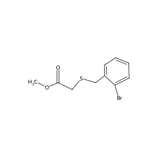 COC(=O)CSCc1ccccc1Br